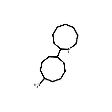 BC1CCCCC(C2CCCCCCCN2)CCC1